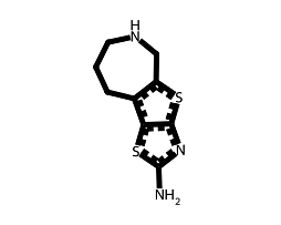 Nc1nc2sc3c(c2s1)CCCNC3